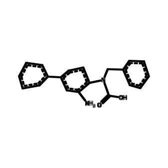 Nc1cc(-c2ccccc2)ccc1N(Cc1ccccc1)C(=O)O